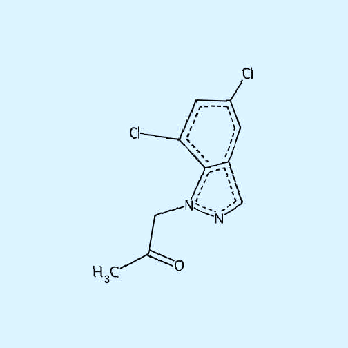 CC(=O)Cn1ncc2cc(Cl)cc(Cl)c21